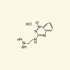 CCCN(CCC)CCNc1nc2ccccc2[n+]([O-])n1.Cl